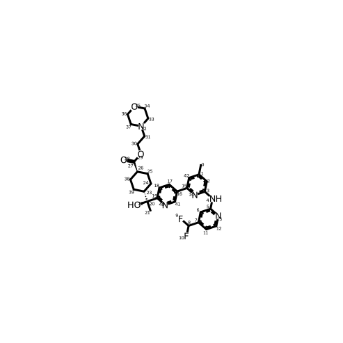 Cc1cc(Nc2cc(C(F)F)ccn2)nc(-c2ccc(C(C)(O)[C@H]3CC[C@H](C(=O)OCCN4CCOCC4)CC3)nc2)c1